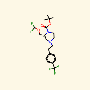 CC(C)(C)OC(=O)N1CCN(CCc2ccc(C(F)(F)F)cc2)C[C@H]1COC(F)F